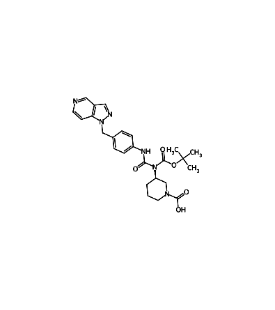 CC(C)(C)OC(=O)N(C(=O)Nc1ccc(Cn2ncc3cnccc32)cc1)[C@@H]1CCCN(C(=O)O)C1